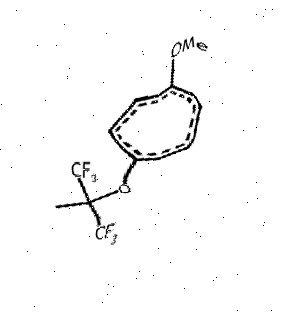 COc1ccc(OC(C)(C(F)(F)F)C(F)(F)F)cc1